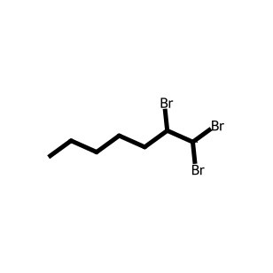 CCCCCC(Br)[C](Br)Br